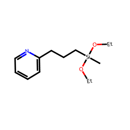 CCO[Si](C)(CCCc1ccccn1)OCC